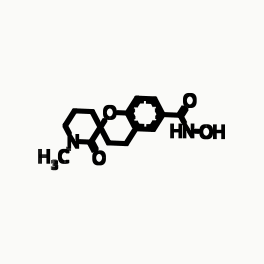 CN1CCCC2(CCc3cc(C(=O)NO)ccc3O2)C1=O